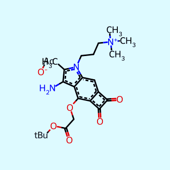 CC(=O)[O-].Cc1c(N)c2c(OCC(=O)OC(C)(C)C)c3c(=O)c(=O)c3cc2n1CCC[N+](C)(C)C